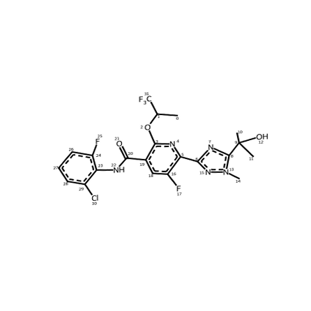 CC(Oc1nc(-c2nc(C(C)(C)O)n(C)n2)c(F)cc1C(=O)Nc1c(F)cccc1Cl)C(F)(F)F